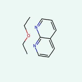 CCOCC.c1cnc2ncccc2c1